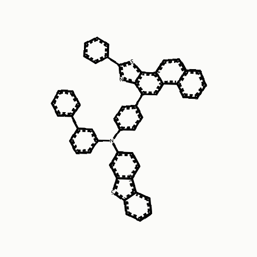 c1ccc(-c2cccc(N(c3ccc(-c4cc5c6ccccc6ccc5c5sc(-c6ccccc6)nc45)cc3)c3ccc4c(c3)sc3ccccc34)c2)cc1